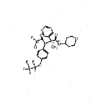 C[C@@](C(=O)NC1CCOCC1)(c1cncnc1)N(C(=O)[C@H](F)Cl)c1ccc(OC(F)(F)C(F)(F)F)cc1